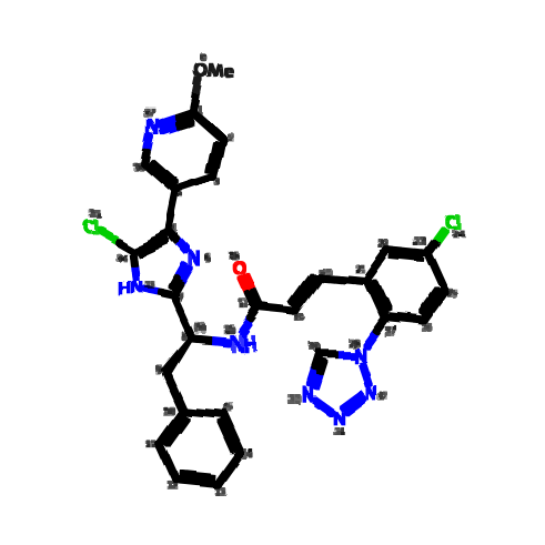 COc1ccc(-c2nc([C@H](Cc3ccccc3)NC(=O)C=Cc3cc(Cl)ccc3-n3cnnn3)[nH]c2Cl)cn1